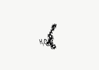 Cc1oc(-c2cccs2)nc1COc1ccc(CCCCn2ccnc2)cc1